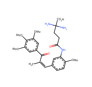 COc1ccc(C=C(C)C(=O)c2cc(OC)c(OC)c(OC)c2)cc1NC(=O)CCC(N)(N)C(=O)O